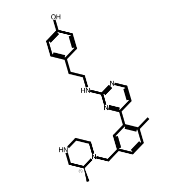 Cc1ccc(CN2CCNC[C@@H]2C)cc1-c1ccnc(NCCc2ccc(O)cc2)n1